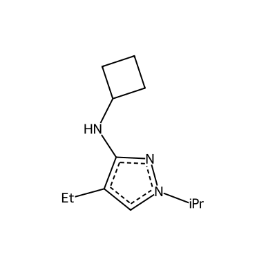 CCc1cn(C(C)C)nc1NC1CCC1